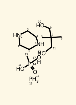 C1CNCCN1.CC(C)(CO)CO.CP(=O)(O)O.P